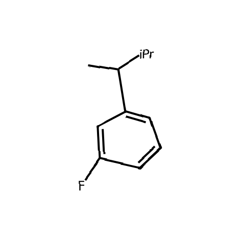 CC(C)C(C)c1cccc(F)c1